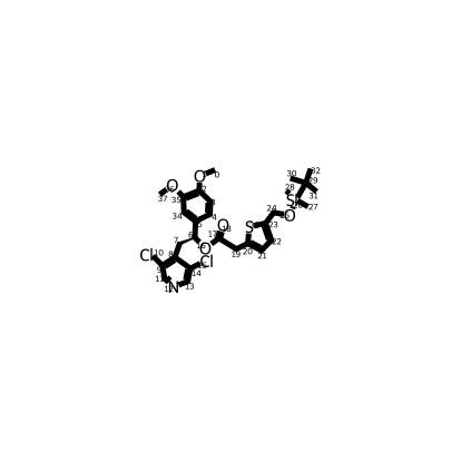 COc1ccc([C@H](Cc2c(Cl)cncc2Cl)OC(=O)Cc2ccc(CO[Si](C)(C)C(C)(C)C)s2)cc1OC